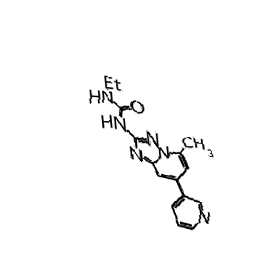 CCNC(=O)Nc1nc2cc(-c3cccnc3)cc(C)n2n1